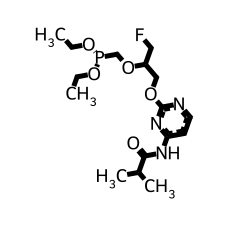 CCOP(COC(CF)COc1nccc(NC(=O)C(C)C)n1)OCC